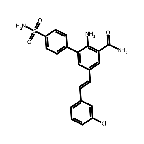 NC(=O)c1cc(C=Cc2cccc(Cl)c2)cc(-c2ccc(S(N)(=O)=O)cc2)c1N